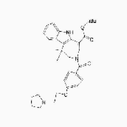 CCC(C)OC(=O)C1=CN(C(=O)c2ccc(OCCN3CCCC3)cc2)CC(C)(C)c2c1[nH]c1ccccc21